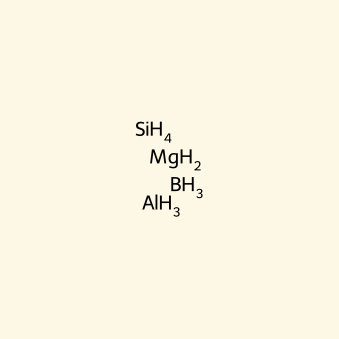 B.[AlH3].[MgH2].[SiH4]